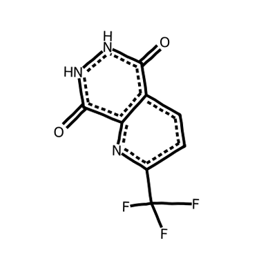 O=c1[nH][nH]c(=O)c2nc(C(F)(F)F)ccc12